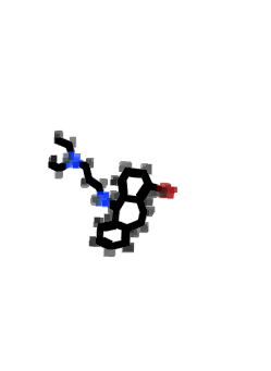 CCN(CC)CCCN=C1c2ccccc2CCc2c(Br)cccc21